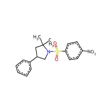 CC1(C)CC(c2ccccc2)CN1S(=O)(=O)c1ccc([N+](=O)[O-])cc1